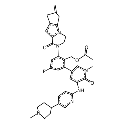 C=C1Cc2cc3n(c2C1)CCN(c1cc(F)cc(-c2cc(Nc4ccc(C5CCN(C)CC5)cn4)c(=O)n(C)c2)c1COC(C)=O)C3=O